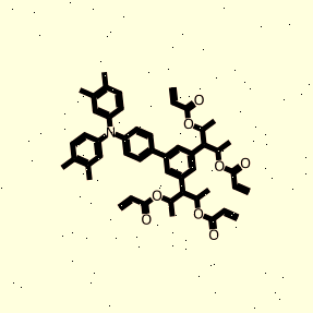 C=CC(=O)OC(C)C(c1cc(-c2ccc(N(c3ccc(C)c(C)c3)c3ccc(C)c(C)c3)cc2)cc(C(C(C)OC(=O)C=C)C(C)OC(=O)C=C)c1)C(C)OC(=O)C=C